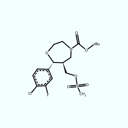 CC(C)(C)OC(=O)N1CCO[C@@H](c2ccc(Cl)c(F)c2)[C@H](COS(C)(=O)=O)C1